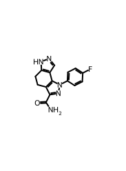 NC(=O)c1nn(-c2ccc(F)cc2)c2c1CCc1[nH]ncc1-2